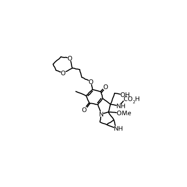 COC12C3NC3CN1C1=C(C(=O)C(OCCC3OCCCO3)=C(C)C1=O)C2(CO)NC(=O)O